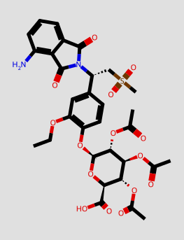 CCOc1cc([C@@H](CS(C)(=O)=O)N2C(=O)c3cccc(N)c3C2=O)ccc1O[C@@H]1O[C@H](C(=O)O)[C@@H](OC(C)=O)[C@H](OC(C)=O)[C@H]1OC(C)=O